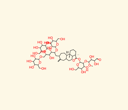 C=C1CC2CCC3[C@](C)(C(=O)OC4OC(CO)C(O)C(O)C4OC(OC)C(O)C(O)C=O)CCC[C@@]3(C)[C@@H]2CCC1CC(OC1OC(CO)C(O)C(O)C1O)C(OC1OC(CO)C(O)C(O)C1O)C(O)C(O)COC1OC(CO)C(O)C(O)C1O